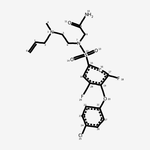 C=CCN(C)CCN(CC(N)=O)S(=O)(=O)c1cc(F)c(Oc2ccc(Cl)cc2)c(F)c1